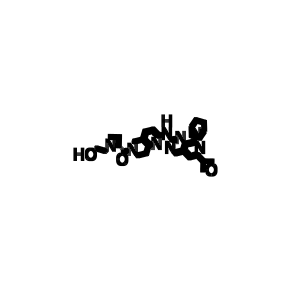 O=C([C@H]1CCN1CCO)N1CCc2nc(Nc3ncc4cc(C5COC5)nc(N5C6CCC5CC6)c4n3)ccc2C1